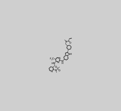 C=CC(=O)N(C)Cc1cccc(-c2cc3cc(Nc4ncc(C(F)(F)F)c(NCc5cccnc5N(C)S(C)(=O)=O)n4)ccc3[nH]2)c1